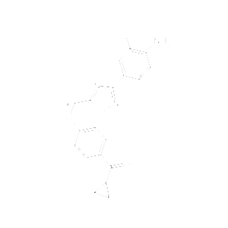 CC[C@@H](Oc1ccc(C(=O)C2CC2)cc1)c1nc(-c2ccc(N)c(F)c2)no1